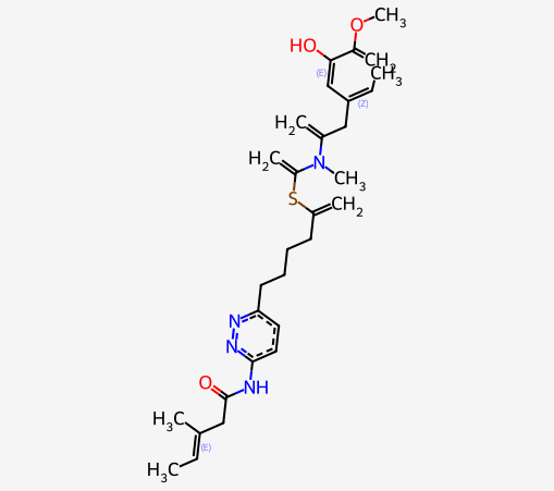 C=C(CCCCc1ccc(NC(=O)C/C(C)=C/C)nn1)SC(=C)N(C)C(=C)CC(=C/C)/C=C(/O)C(=C)OC